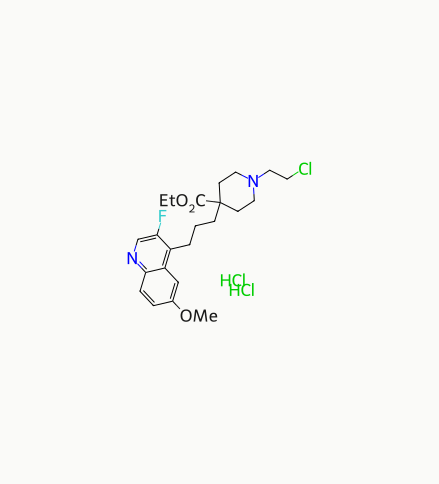 CCOC(=O)C1(CCCc2c(F)cnc3ccc(OC)cc23)CCN(CCCl)CC1.Cl.Cl